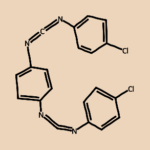 Clc1ccc(N=C=Nc2ccc(N=C=Nc3ccc(Cl)cc3)cc2)cc1